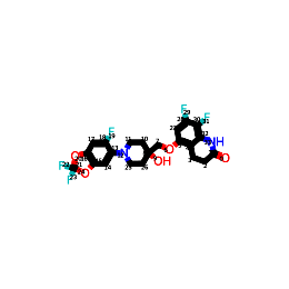 O=C1CCc2c(OCC3(O)CCN(c4cc5c(cc4F)OC(F)(F)O5)CC3)cc(F)c(F)c2N1